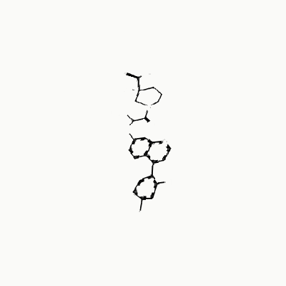 CC(Oc1ccc2c(-c3ccc(F)cc3Cl)ccnc2c1)C(=O)N1CCC[C@@](C)(C(=O)O)C1